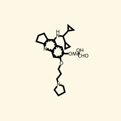 COc1cc2c(NC(C3CC3)C3CC3)c3c(nc2cc1OCCCN1CCCC1)CCC3.O=CO